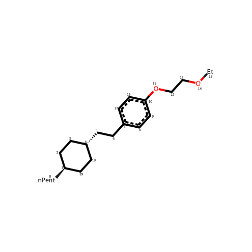 CCCCC[C@H]1CC[C@H](CCc2ccc(OCCOCC)cc2)CC1